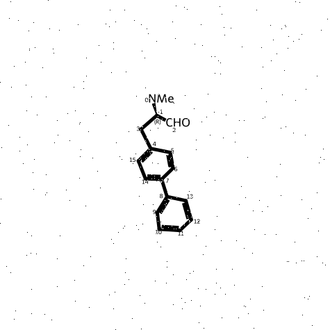 CN[C@@H](C=O)Cc1ccc(-c2ccccc2)cc1